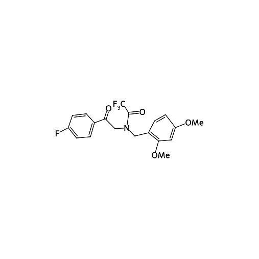 COc1ccc(CN(CC(=O)c2ccc(F)cc2)C(=O)C(F)(F)F)c(OC)c1